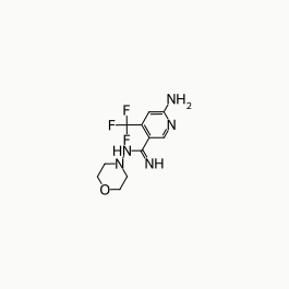 N=C(NN1CCOCC1)c1cnc(N)cc1C(F)(F)F